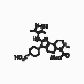 COC(=O)N1c2ccc3c(nc(Nc4c(C)n[nH]c4C)n3C3CCC(C(=O)O)CC3)c2CC[C@@H]1C